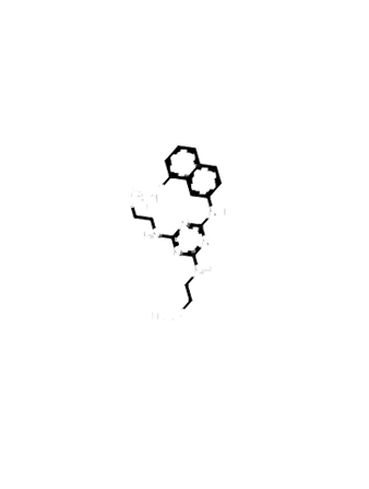 O=S(=O)(O)CCNc1nc(NCCS(=O)(=O)O)nc(Nc2ccc3cccc(S(=O)(=O)O)c3c2)n1